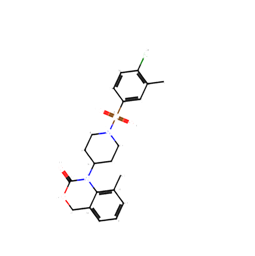 Cc1cc(S(=O)(=O)N2CCC(N3C(=O)OCc4cccc(C)c43)CC2)ccc1Br